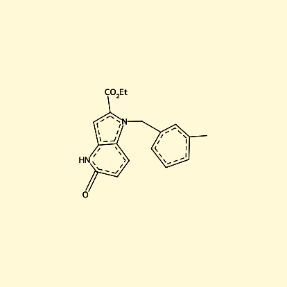 CCOC(=O)c1cc2[nH]c(=O)ccc2n1Cc1cccc(C)c1